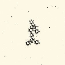 Cc1nn2c(-c3ccccc3)cc3ccc(-c4ccc(-c5cc(-c6ccccc6)nc(-c6ccccc6)n5)cc4)cc3c2c1-c1ccccc1